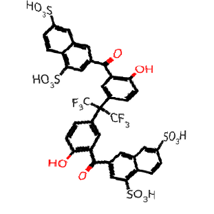 O=C(c1cc(S(=O)(=O)O)c2ccc(S(=O)(=O)O)cc2c1)c1cc(C(c2ccc(O)c(C(=O)c3cc(S(=O)(=O)O)c4ccc(S(=O)(=O)O)cc4c3)c2)(C(F)(F)F)C(F)(F)F)ccc1O